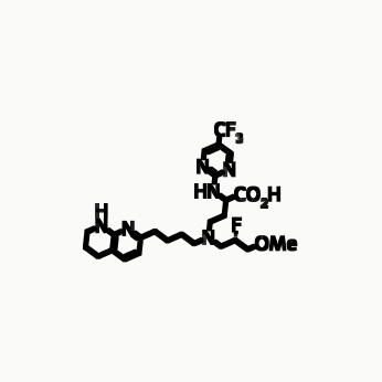 COC[C@@H](F)CN(CCCCc1ccc2c(n1)NCCC2)CCC(Nc1ncc(C(F)(F)F)cn1)C(=O)O